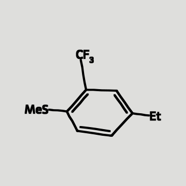 CCc1ccc(SC)c(C(F)(F)F)c1